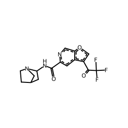 O=C(NC1CC2CCN1C2)c1cc2c(C(=O)C(F)(F)F)coc2cn1